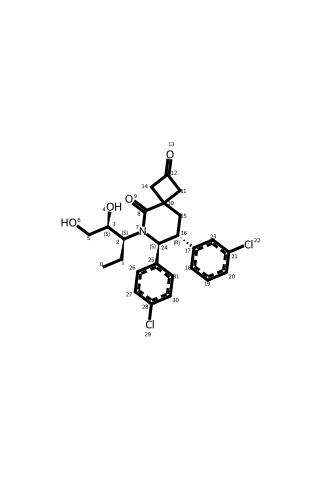 CC[C@@H]([C@H](O)CO)N1C(=O)C2(CC(=O)C2)C[C@H](c2cccc(Cl)c2)[C@H]1c1ccc(Cl)cc1